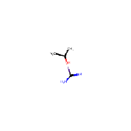 CC(C)O.N=C(N)I